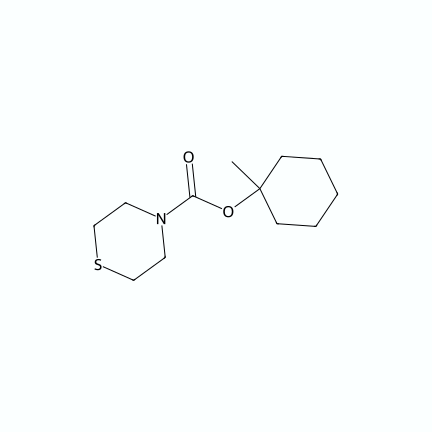 CC1(OC(=O)N2CCSCC2)CCCCC1